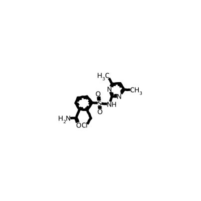 Cc1cc(C)nc(NS(=O)(=O)c2cccc(C(N)=O)c2CCl)n1